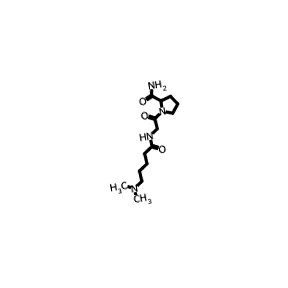 CN(C)CCCCC(=O)NCC(=O)N1CCCC1C(N)=O